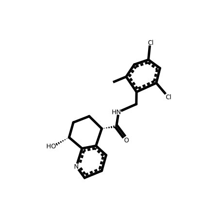 Cc1cc(Cl)cc(Cl)c1CNC(=O)[C@H]1CC[C@@H](O)c2ncccc21